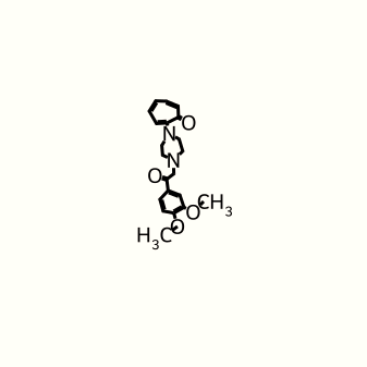 COc1ccc(C(=O)CN2CCN(c3cccccc3=O)CC2)cc1OC